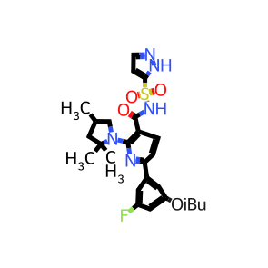 CC(C)COc1cc(F)cc(-c2ccc(C(=O)NS(=O)(=O)c3ccn[nH]3)c(N3CC(C)CC3(C)C)n2)c1